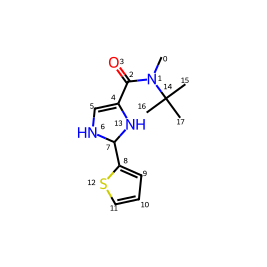 CN(C(=O)C1=CNC(c2cccs2)N1)C(C)(C)C